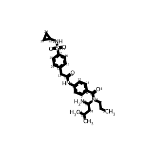 CCCN(C(=O)c1ccc(NC(=O)Cc2ccc(S(=O)(=O)NC3CC3)cc2)cc1)C(N)CC(C)C